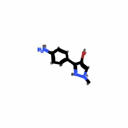 Cn1cc(Br)c(-c2ccc(N)cc2)n1